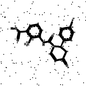 COC(=O)c1cccc(NC(=O)N2C=CC(=O)C[C@@H]2c2ccc(F)cc2)c1C